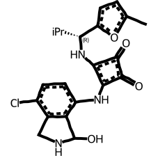 Cc1ccc([C@H](Nc2c(Nc3ccc(Cl)c4c3C(O)NC4)c(=O)c2=O)C(C)C)o1